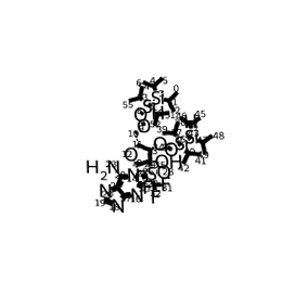 CC(C)[SiH](C(C)C)[Si](OOC[C@H]1O[C@@H](n2cnc3ncnc-3c2N)[C@](O)(S(=O)(=O)C(F)(F)F)[C@@H]1OO[Si](C(C)C)(C(C)C)[SiH](C(C)C)C(C)C)(C(C)C)C(C)C